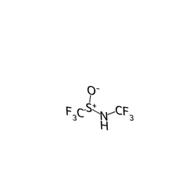 [O-][S+](NC(F)(F)F)C(F)(F)F